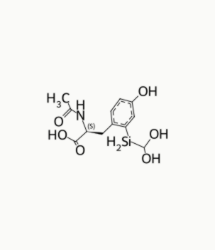 CC(=O)N[C@@H](Cc1ccc(O)cc1[SiH2]C(O)O)C(=O)O